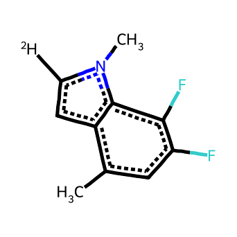 [2H]c1cc2c(C)cc(F)c(F)c2n1C